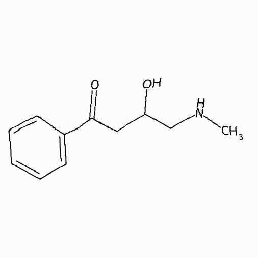 CNCC(O)CC(=O)c1ccccc1